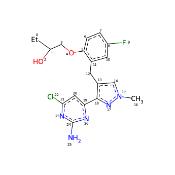 CCC(O)COc1ccc(F)cc1Cc1cn(C)nc1-c1cc(Cl)nc(N)n1